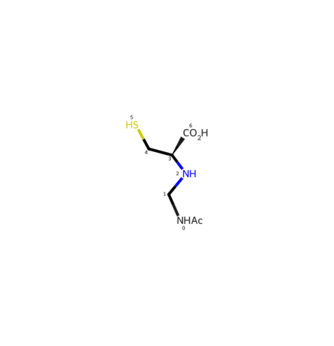 CC(=O)NCN[C@@H](CS)C(=O)O